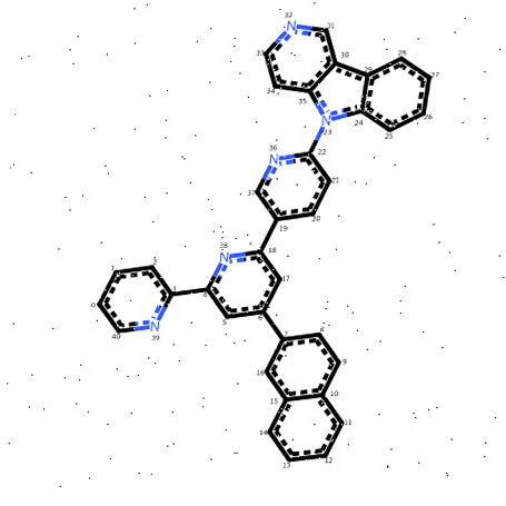 c1ccc(-c2cc(-c3ccc4ccccc4c3)cc(-c3ccc(-n4c5ccccc5c5cnccc54)nc3)n2)nc1